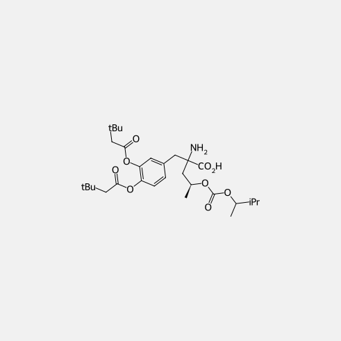 CC(C)C(C)OC(=O)O[C@@H](C)CC(N)(Cc1ccc(OC(=O)CC(C)(C)C)c(OC(=O)CC(C)(C)C)c1)C(=O)O